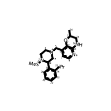 CSN1CCN(Cc2ccnc3c2OC(C)CN3)CC1c1ccccc1C(C)C